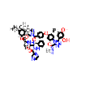 CCNC(=O)c1nnc(-c2cc(C(C)C)c(O)cc2O)n1-c1ccc(Oc2ccc(C(=O)NCC[C@]34OB([C@@H](CC(C)C)NC(=O)[C@H](Cc5ccccc5)NC(=O)c5cnccn5)O[C@H]3C[C@@H](C)C(C)(C)[C@@H]4C)cc2)cc1